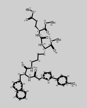 CC(C)(C)OC(=O)CC[C@H](NC(=O)N[C@@H](CCCCNC(=O)[C@H](Cc1ccc2ccccc2c1)NC(=O)Cn1ccc(-c2ccc([N+](=O)[O-])cc2)n1)C(=O)OC(C)(C)C)C(=O)OC(C)(C)C